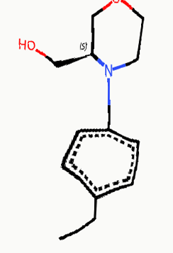 CCc1ccc(N2CCOC[C@@H]2CO)cc1